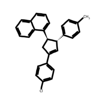 Cc1ccc([C@@H]2C=C(c3ccc(Cl)cc3)C[C@H]2c2cccc3ccccc23)cc1